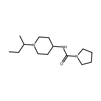 CCC(C)N1CCC(NC(=O)N2CCCC2)CC1